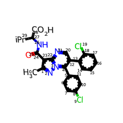 Cc1nn2c(-c3ccc(Cl)cc3)c(-c3ccccc3Cl)cnc2c1C(=O)NC(C(=O)O)C(C)C